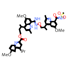 COc1ccc2nc(C(=O)OCCC(C)c3cc(C)nc4c(C(=N)NOCC(C)c5cc(C)nc6c(C(=O)NS(C)(=O)=O)cc(OC)cc56)cc(OC)cc34)cc(C(C)C)c2c1